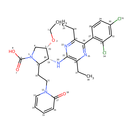 CCO[C@H]1CN(C(=O)O)C(CCn2ccccc2=O)[C@H]1Nc1nc(CC)c(-c2ccc(Cl)cc2Cl)nc1CC